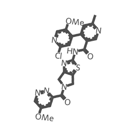 COc1cnnc(C(=O)N2Cc3nc(NC(=O)c4cnc(C)cc4-c4cc(Cl)ncc4OC)sc3C2)c1